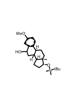 COc1ccc2c(c1)C(O)C[C@@H]1[C@@H]2CC[C@]2(C)[C@@H](O[Si](C)(C)C(C)(C)C)CC[C@@H]12